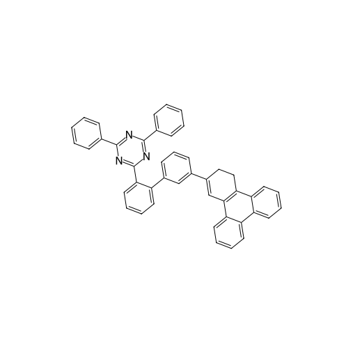 C1=C(c2cccc(-c3ccccc3-c3nc(-c4ccccc4)nc(-c4ccccc4)n3)c2)CCc2c1c1ccccc1c1ccccc21